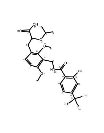 COc1ccc(CC(OC(C)C)C(=O)O)c(OC)c1CNC(=O)c1ccc(C(F)(F)F)cc1F